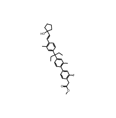 CCC(CC)(c1ccc(C=CC2(O)CCCC2)c(C)c1)c1ccc(-c2ccc(CC(=O)OC)c(F)c2)c(C)c1